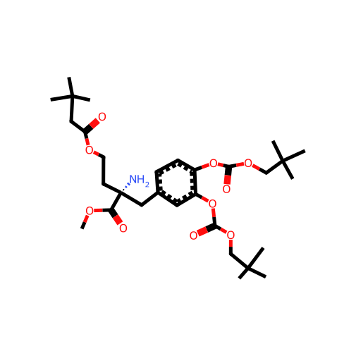 COC(=O)[C@@](N)(CCOC(=O)CC(C)(C)C)Cc1ccc(OC(=O)OCC(C)(C)C)c(OC(=O)OCC(C)(C)C)c1